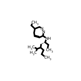 CCCC(C[C@@H](CC)NC1/C=C\CC(CC)C/N=N\1)C(C)C